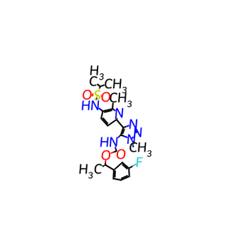 Cc1nc(-c2nnn(C)c2NC(=O)O[C@H](C)c2cccc(F)c2)ccc1NS(=O)(=O)C(C)C